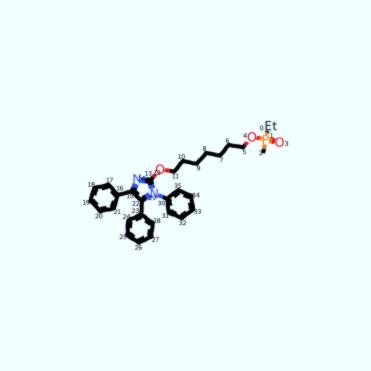 CCP(C)(=O)OCCCCCCCOc1nc(-c2ccccc2)c(-c2ccccc2)n1-c1ccccc1